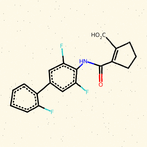 O=C(O)C1=C(C(=O)Nc2c(F)cc(-c3ccccc3F)cc2F)CCC1